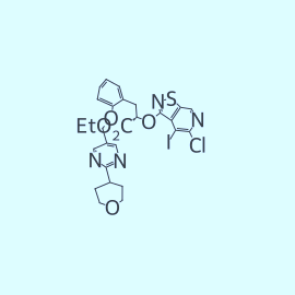 CCOC(=O)[C@@H](Cc1ccccc1OCc1cnc(C2CCOCC2)nc1)Oc1nsc2cnc(Cl)c(I)c12